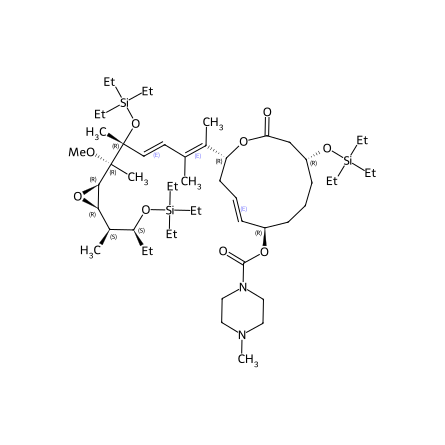 CC[C@H](O[Si](CC)(CC)CC)[C@@H](C)[C@H]1O[C@H]1[C@@](C)(OC)[C@@](C)(/C=C/C(C)=C(\C)[C@H]1C/C=C/[C@H](OC(=O)N2CCN(C)CC2)CCC[C@@H](O[Si](CC)(CC)CC)CC(=O)O1)O[Si](CC)(CC)CC